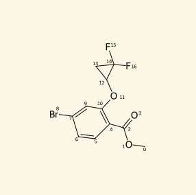 COC(=O)c1ccc(Br)cc1OC1CC1(F)F